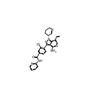 C=Cc1cnc(N)c2c(-c3ccc(C(=O)Nc4ccccn4)cc3Cl)nn([C@H]3C=NCCC3)c12